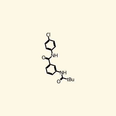 CC(C)(C)C(=O)Nc1cccc(C(=O)Nc2ccc(Cl)cc2)c1